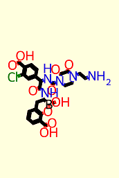 NCCN1CCN(C(=O)NC(C(=O)N[C@H]2Cc3cccc(C(=O)O)c3OB2O)c2ccc(C(=O)O)c(Cl)c2)C(=O)C1=O